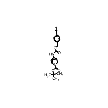 CC(C)(C)OC(=O)N1CC2CC1CC2NC(=O)OCc1ccc(C#N)cc1